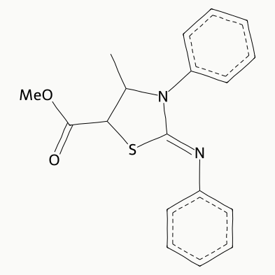 COC(=O)C1SC(=Nc2ccccc2)N(c2ccccc2)C1C